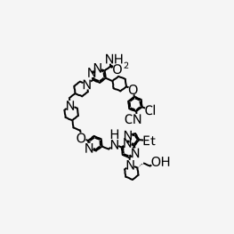 CCc1cnn2c(NCc3ccc(OCCC4CCN(CC5CCN(c6cc(C7CCC(Oc8ccc(C#N)c(Cl)c8)CC7)c(C(N)=O)nn6)CC5)CC4)nc3)cc(N3CCCC[C@H]3CCO)nc12